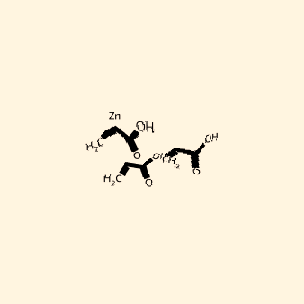 C=CC(=O)O.C=CC(=O)O.C=CC(=O)O.[Zn]